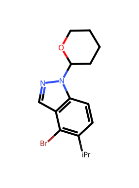 CC(C)c1ccc2c(cnn2C2CCCCO2)c1Br